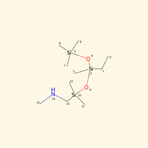 CC[Si](C)(O[Si](C)(C)C)O[Si](C)(C)CNC